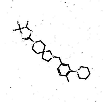 Cc1ccc(CN2CCC3(CCN(C(=O)OC(C)C(F)(F)F)CC3)C2)cc1N1CCCCC1